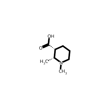 C[C@@H]1[C@H](C(=O)O)CCCN1C